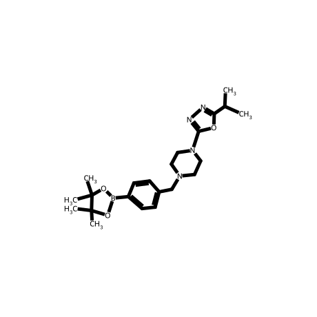 CC(C)c1nnc(N2CCN(Cc3ccc(B4OC(C)(C)C(C)(C)O4)cc3)CC2)o1